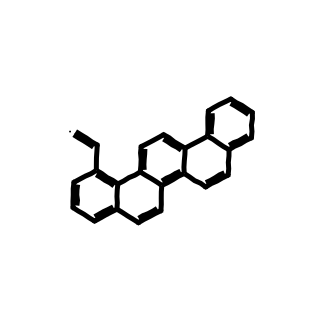 [CH]=Cc1cccc2ccc3c4ccc5ccccc5c4ccc3c12